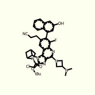 CN(C)C1CN(c2nc3c(F)c(-c4cc(O)cc5ccccc45)c(CCC#N)cc3c3c2nc(CCl)n3C2C3CC2N(C(=O)OC(C)(C)C)C3)C1